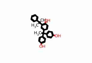 CC(C)(c1ccccc1)c1cc(C(C)(c2ccc(O)cc2)c2ccc(O)cc2)ccc1O